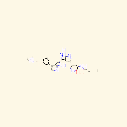 CCCC(O)Nc1cncc(-c2cnc3[nH]nc(-c4cc5c(-c6cc(F)cc(OCCN7CCCC7)c6)ccnc5[nH]4)c3c2)c1